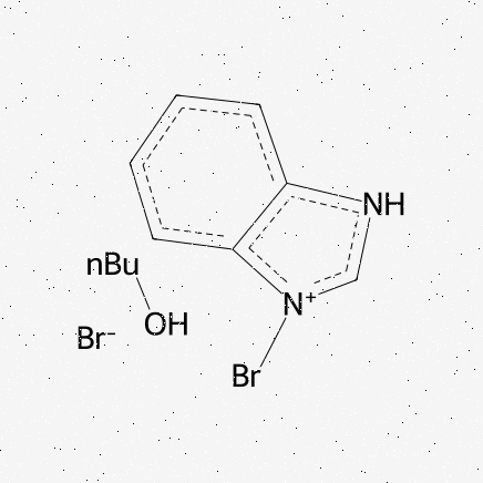 Br[n+]1c[nH]c2ccccc21.CCCCO.[Br-]